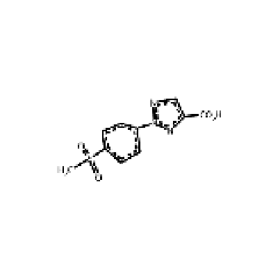 CS(=O)(=O)c1ccc(-n2ncc(C(=O)O)n2)cc1